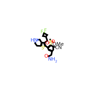 COC1(C#N)CC(CC(N)=O)=CC(c2sc3c(c2CC2CC(F)(F)C2)CNCC3)=C1S(C)(=O)=O